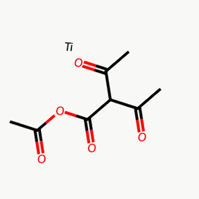 CC(=O)OC(=O)C(C(C)=O)C(C)=O.[Ti]